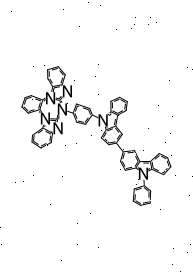 c1ccc(-n2c3ccccc3c3cc(-c4ccc5c(c4)c4ccccc4n5-c4ccc(-n5c6nc7ccccc7n6c6ccccc6n6c7ccccc7nc56)cc4)ccc32)cc1